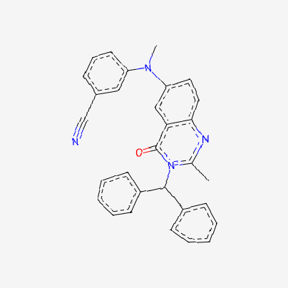 Cc1nc2ccc(N(C)c3cccc(C#N)c3)cc2c(=O)n1C(c1ccccc1)c1ccccc1